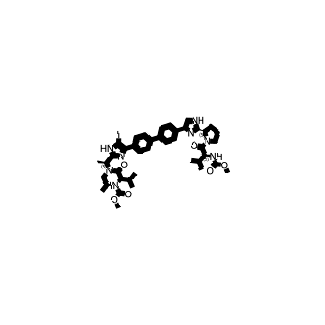 CCCN(C(=O)C(NC(=O)OC)C(C)C)[C@@H](C)c1nc(-c2ccc(-c3ccc(-c4c[nH]c([C@@H]5CCCN5C(=O)[C@@H](NC(=O)OC)C(C)C)n4)cc3)cc2)c(I)[nH]1